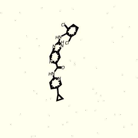 O=C(Nc1ccc(C2CC2)cn1)c1cc2[nH]c(Nc3c(Cl)cccc3Cl)nc2cn1